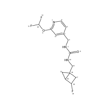 O=C(NCc1ccnc(OC(F)F)c1)NCC12CC(F)C1C2